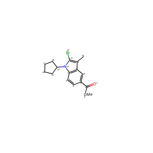 COC(=O)c1ccc2c(c1)c(C)c(Br)n2C1CCCC1